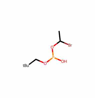 CC(Br)OP(O)OCC(C)(C)C